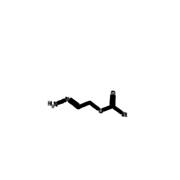 CCC(=O)OCC=NN